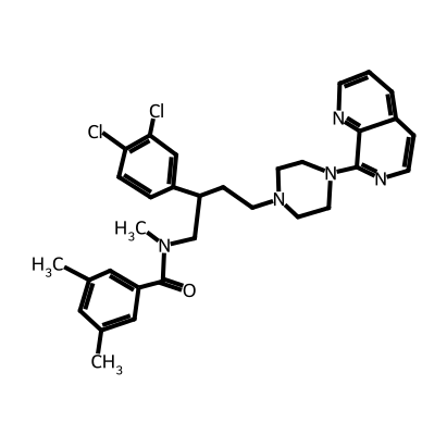 Cc1cc(C)cc(C(=O)N(C)CC(CCN2CCN(c3nccc4cccnc34)CC2)c2ccc(Cl)c(Cl)c2)c1